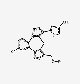 CCOCc1nnc2n1Cc1c(-c3cc(C)no3)ncn1-c1ccc(Cl)cc1-2